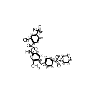 Cc1nc(NS(=O)(=O)c2ccc(C(F)(F)F)cc2Cl)ccc1Sc1ccc(S(=O)(=O)N2CCOCC2)cc1